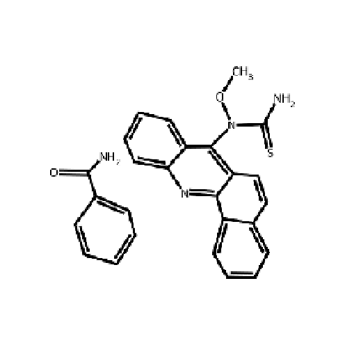 CON(C(N)=S)c1c2ccccc2nc2c1ccc1ccccc12.NC(=O)c1ccccc1